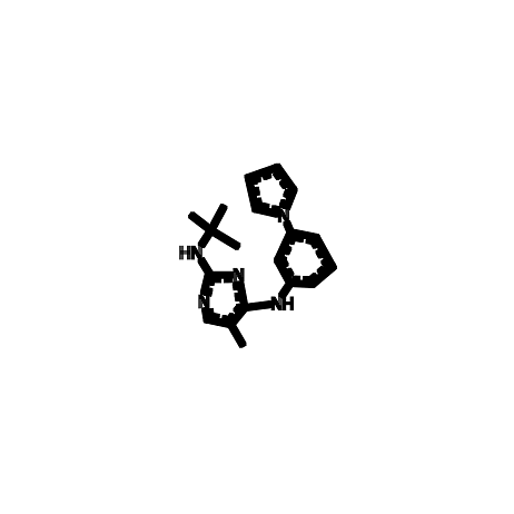 Cc1cnc(NC(C)(C)C)nc1Nc1cccc(-n2cccc2)c1